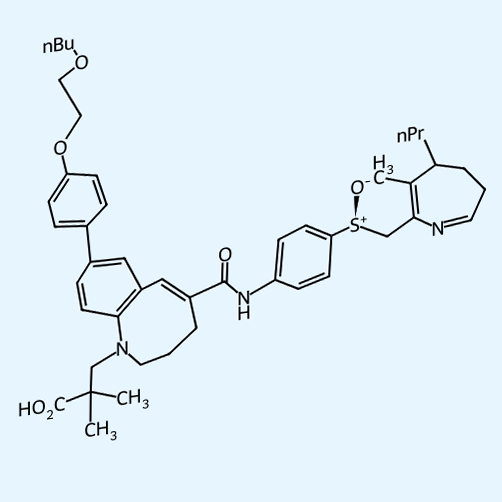 CCCCOCCOc1ccc(-c2ccc3c(c2)/C=C(/C(=O)Nc2ccc([S@@+]([O-])CC4=C(C)C(CCC)CCC=N4)cc2)CCCN3CC(C)(C)C(=O)O)cc1